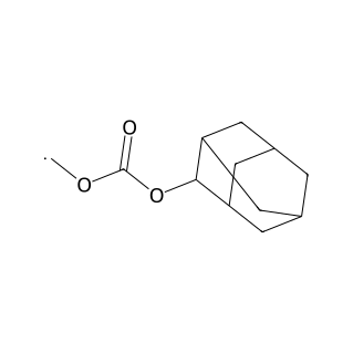 [CH2]OC(=O)OC1C2CC3CC(C2)CC1C3